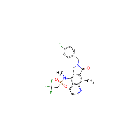 Cc1c2c(c(N(C)S(=O)(=O)CC(F)(F)F)c3cccnc13)CN(Cc1ccc(F)cc1)C2=O